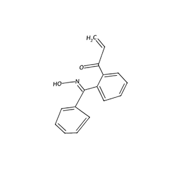 C=CC(=O)c1ccccc1C(=NO)c1ccccc1